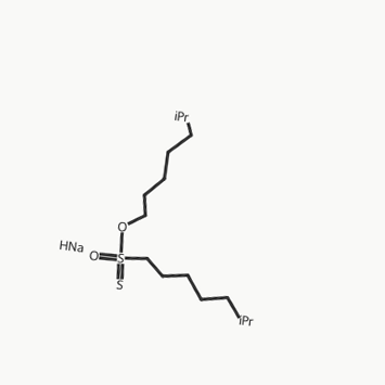 CC(C)CCCCCOS(=O)(=S)CCCCCC(C)C.[NaH]